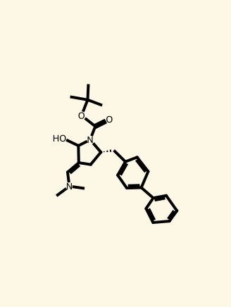 CN(C)/C=C1\C[C@@H](Cc2ccc(-c3ccccc3)cc2)N(C(=O)OC(C)(C)C)C1O